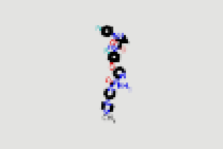 CN1CCN(C2CCN(C(=O)N(N)C3=NCCC(Oc4ccc(NC(=O)C5(C(=O)Nc6ccc(F)cc6)CC5)c(F)c4)=C3)CC2)CC1